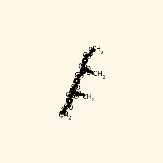 C=CCOC(=O)c1cc(OC(=O)C2CCC(C(=O)Oc3ccc(OC(=O)C4CCC(C(=O)OCOC(=O)C=C)CC4)c(C(=O)OCC=C)c3)CC2)ccc1OC(=O)C1CCC(C(=O)OCOC(=O)C=C)CC1